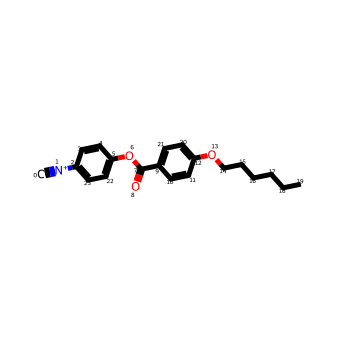 [C-]#[N+]c1ccc(OC(=O)c2ccc(OCCCCCC)cc2)cc1